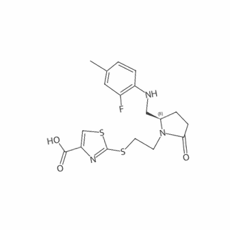 Cc1ccc(NC[C@H]2CCC(=O)N2CCSc2nc(C(=O)O)cs2)c(F)c1